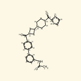 CC(=O)Nc1cccc(-c2ccc(C(=O)N3CC(N4CCN(C(=O)c5nccs5)CC4)C3)cc2)c1